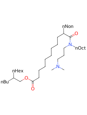 CCCCCCCCCC(CCCCCCCCC(=O)OCC(CCCC)CCCCCC)C(=O)N(CCCCCCCC)CCCN(C)C